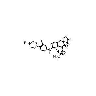 CC(C)N1CCN(c2ccc(Nc3ncc4c(n3)N(C35CC(C3)[C@H]5C)C(=O)[C@]3(CCNC3=O)C4)cc2F)CC1